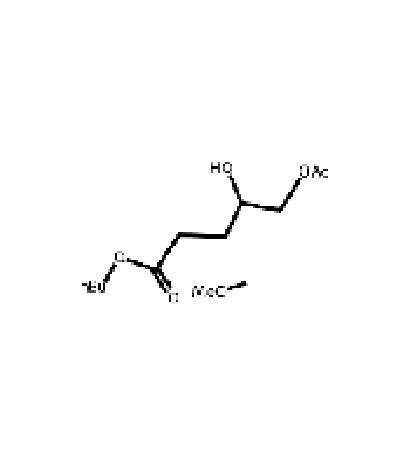 CCCCOC(=O)CCC(O)COC(C)=O.COC